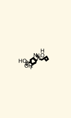 OB(O)c1cc2nnn(CC3(O)CCC3)c2cc1F